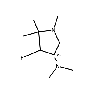 CN(C)[C@H]1CN(C)C(C)(C)C1F